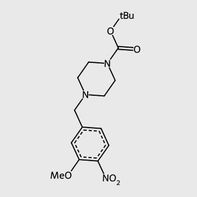 COc1cc(CN2CCN(C(=O)OC(C)(C)C)CC2)ccc1[N+](=O)[O-]